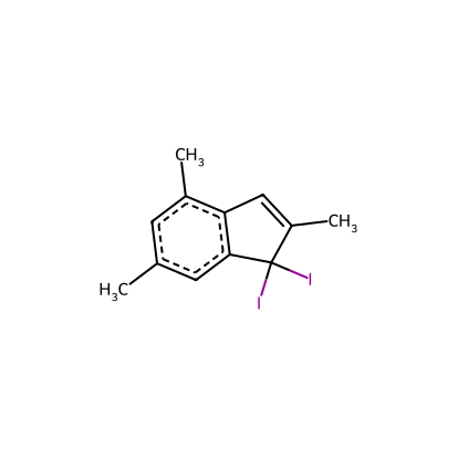 CC1=Cc2c(C)cc(C)cc2C1(I)I